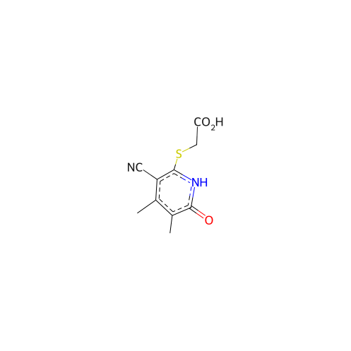 Cc1c(C#N)c(SCC(=O)O)[nH]c(=O)c1C